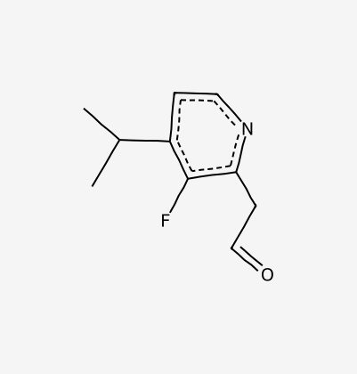 CC(C)c1ccnc(CC=O)c1F